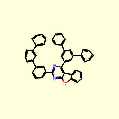 c1ccc(-c2cccc(-c3cccc(-c4nc(-c5cc(-c6ccccc6)cc(-c6ccccc6)c5)c5c(n4)oc4ccccc45)c3)c2)cc1